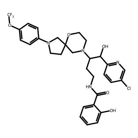 O=C(NCCC(C(O)c1ccc(Cl)cn1)N1CCOC2(CCN(c3ccc(OC(F)(F)F)cc3)C2)C1)c1ccccc1O